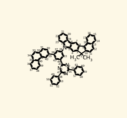 CC1(C)c2cc3c(cc2-c2c1ccc1ccccc21)c1ccccc1n3-c1cc(-c2ccc3ccc4ccccc4c3c2)cc(-c2nc(-c3ccccc3)nc(-c3ccccc3)n2)c1